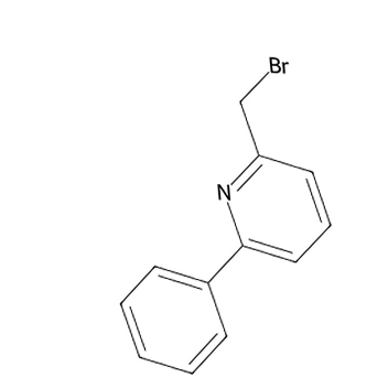 BrCc1cccc(-c2ccccc2)n1